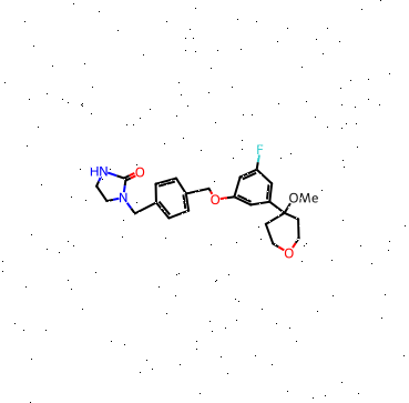 COC1(c2cc(F)cc(OCc3ccc(CN4CCNC4=O)cc3)c2)CCOCC1